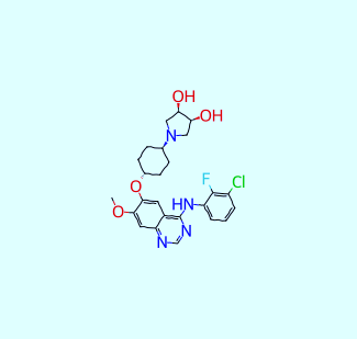 COc1cc2ncnc(Nc3cccc(Cl)c3F)c2cc1O[C@H]1CC[C@H](N2C[C@@H](O)[C@@H](O)C2)CC1